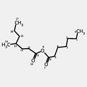 CCCCCCC(=O)OC(=O)CCC(C)CCC